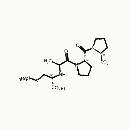 CCCCCCCSC[C@H](NC(C)C(=O)N1CCC[C@H]1C(=O)N1CCC[C@H]1C(=O)O)C(=O)OCC